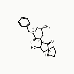 CC(C)C[C@H](C(=O)OCc1ccccc1)N1C(=O)[C@@]2(CCCN2)CC1O